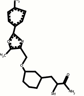 Cc1ccc(-c2nc(COC3CCCC(CC(S)C(N)=O)C3)c(C)o2)cc1